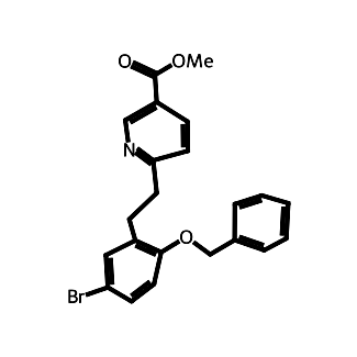 COC(=O)c1ccc(CCc2cc(Br)ccc2OCc2ccccc2)nc1